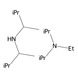 CC(C)C(C)NC(C)C(C)C.CCN(C(C)C)C(C)C